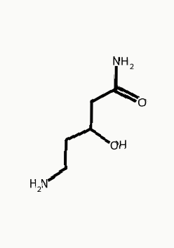 NCCC(O)CC(N)=O